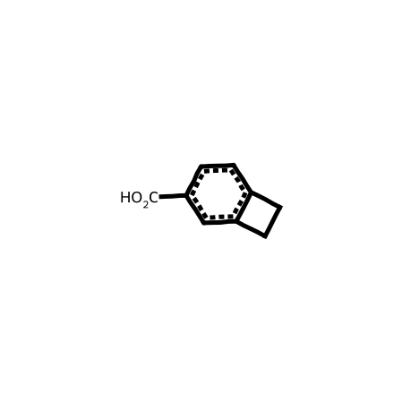 O=C(O)c1ccc2c(c1)CC2